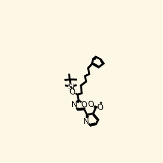 COC(=O)c1cccnc1-c1cnc(C(CCCCCCc2ccccc2)O[Si](C)(C)C(C)(C)C)o1